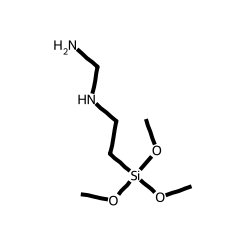 CO[Si](CCNCN)(OC)OC